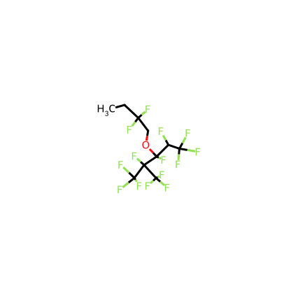 CCC(F)(F)COC(F)(C(F)C(F)(F)F)C(F)(C(F)(F)F)C(F)(F)F